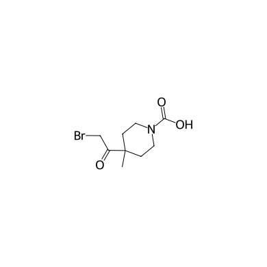 CC1(C(=O)CBr)CCN(C(=O)O)CC1